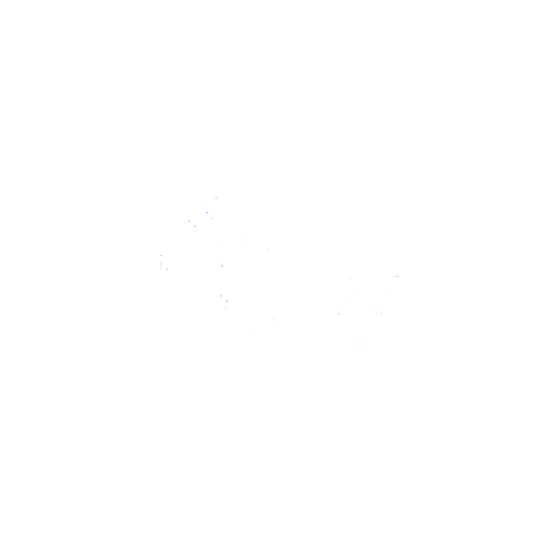 Cc1c2c(nn1C)CN(C)CCCCn1c(C(=O)O)c(CCCOc3cccc4ccccc34)c3cccc-2c31